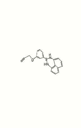 C#CCOc1cccc(B2Nc3cccc4cccc(c34)N2)c1